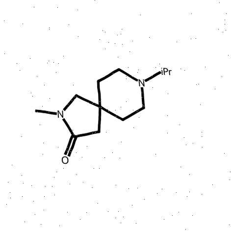 CC(C)N1CCC2(CC1)CC(=O)N(C)C2